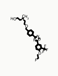 CN(CCO)CCOCc1ccc(-c2noc(-c3ccc(OCCF)c(C(F)(F)F)c3)n2)cc1